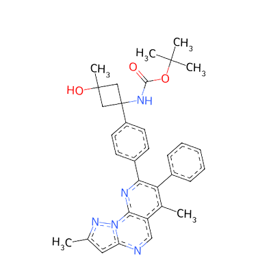 Cc1cc2ncc3c(C)c(-c4ccccc4)c(-c4ccc(C5(NC(=O)OC(C)(C)C)CC(C)(O)C5)cc4)nc3n2n1